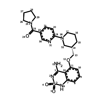 NC1=NS(=O)(=O)Nc2cccc(OC[C@H]3CCCN(c4ccc(C(=O)N5CCCC5)cn4)C3)c21